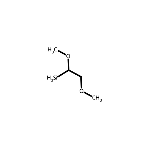 COCC([SiH3])OC